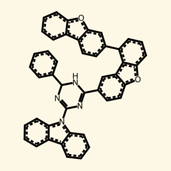 c1ccc(C2N=C(n3c4ccccc4c4ccccc43)N=C(c3ccc4oc5cccc(-c6ccc7c(c6)oc6ccccc67)c5c4c3)N2)cc1